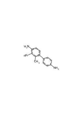 CCCc1c(N)ccc(-c2ccc(N)cc2)c1C